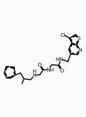 CC(CNCC(=O)NCC(=O)NCc1cnc2scc(Cl)c2c1)Cc1ccccc1